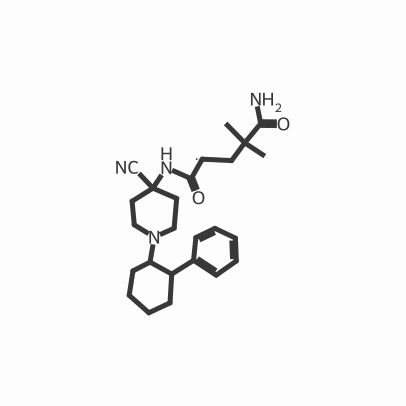 CC(C)(C[CH]C(=O)NC1(C#N)CCN(C2CCCCC2c2ccccc2)CC1)C(N)=O